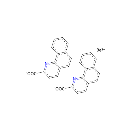 O=C([O-])c1ccc2ccc3ccccc3c2n1.O=C([O-])c1ccc2ccc3ccccc3c2n1.[Be+2]